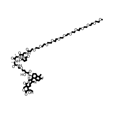 CC[C@@]1(O)C(=O)OCc2c1cc1n(c2=O)Cc2c-1nc1cc(F)c(C)c3c1c2[C@@H](NC(=O)[C@H](O)CCOCNC(=O)[C@H](C)NC(=O)[C@H](C)NC(=O)C(CNC(=O)CCOCCOCCOCCOCCOCCOCCOCCOCCOCCOCCOCCOC)N1C(=O)C=CC1=O)CC3